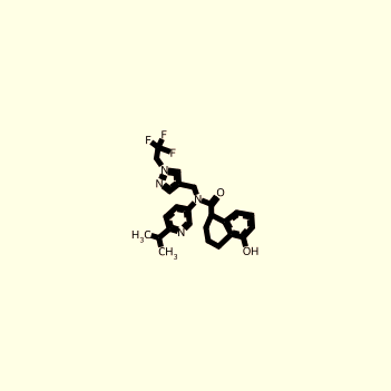 CC(C)c1ccc(N(Cc2cnn(CC(F)(F)F)c2)C(=O)C2CCCc3c(O)cccc32)cn1